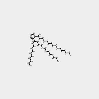 CCCCCCCCCCCCCCCC(C)n1ccnc1C(CCCCCCCCCC)CCCCCCCCCCCC